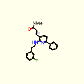 CNC(=O)/C=C/c1ccc(-c2ccccc2)nc1NCCc1cccc(F)c1